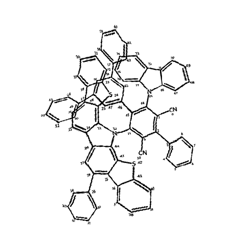 N#Cc1c(-c2ccccc2)c(C#N)c(-n2c3c(ccc4c5ccccc5sc43)c3cc(-c4ccccc4)c4c5ccccc5sc4c32)c(-c2cc(-c3ccccc3)cc(-c3ccccc3)c2)c1-n1c2ccccc2c2ccccc21